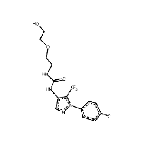 O=C(NCCOCCO)Nc1cnn(-c2ccc(Cl)cc2)c1C(F)(F)F